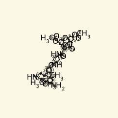 CC(=O)Oc1ccc2c(c1)Oc1cc(OC(C)=O)ccc1C21OC(=O)c2cc(C(=O)NC3CCC(NOc4ccc(C5=C6C=CC(=N)C=C6[Si](C)(C)c6cc(N)ccc65)c(C)c4)CC3)ccc21